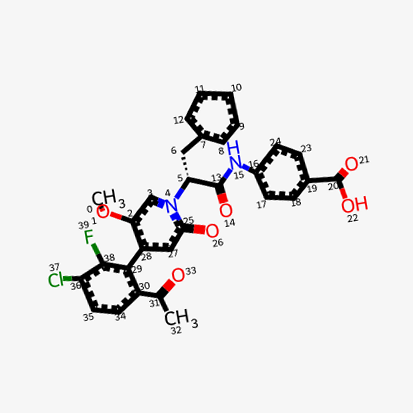 COc1cn([C@H](Cc2ccccc2)C(=O)Nc2ccc(C(=O)O)cc2)c(=O)cc1-c1c(C(C)=O)ccc(Cl)c1F